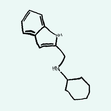 c1ccc2[nH]c(CNC3CCCCC3)cc2c1